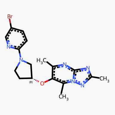 Cc1nc2nc(C)c(O[C@@H]3CCN(c4ccc(Br)cn4)C3)c(C)n2n1